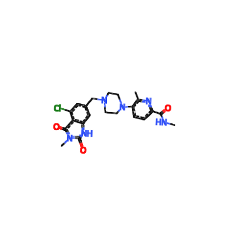 CNC(=O)c1ccc(N2CCN(Cc3cc(Cl)c4c(=O)n(C)c(=O)[nH]c4c3)CC2)c(C)n1